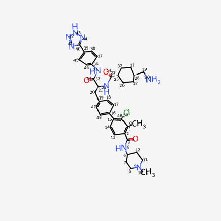 Cc1c(C(=O)NC2CCN(C)CC2)ccc(-c2ccc(C[C@H](NC(=O)[C@H]3CC[C@H](CN)CC3)C(=O)Nc3ccc(-c4nn[nH]n4)cc3)cc2)c1Cl